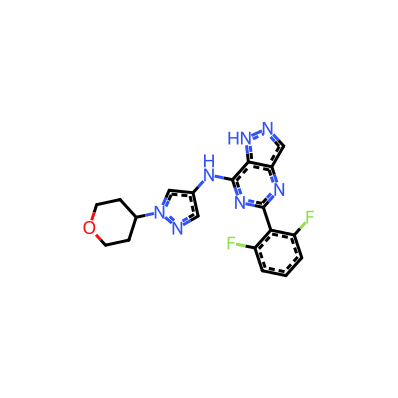 Fc1cccc(F)c1-c1nc(Nc2cnn(C3CCOCC3)c2)c2[nH]ncc2n1